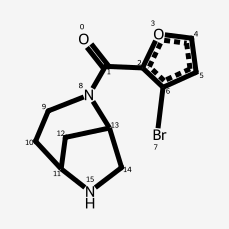 O=C(c1occc1Br)N1CCC2CC1CN2